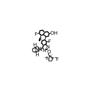 C#Cc1c(F)ccc2cc(O)cc(-c3c(F)cc4c(N5C[C@H]6CC[C@@H](C5)N6)nc(OC[C@@]5(C)[C@H](CF)CCN5C)nc4c3F)c12